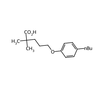 CCCCc1ccc(OCCCC(C)(C)C(=O)O)cc1